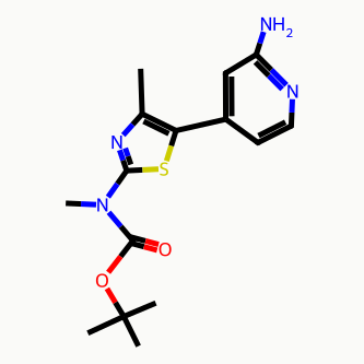 Cc1nc(N(C)C(=O)OC(C)(C)C)sc1-c1ccnc(N)c1